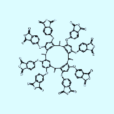 CC1c2cc(c(Oc3ccc4c(c3)C(=O)OC4=O)cc2Oc2ccc3c(c2)C(=O)OC3=O)C(C)c2cc(c(Oc3ccc4c(c3)C(=O)OC4=O)cc2Oc2ccc3c(c2)C(=O)OC3=O)C(C)c2cc(c(Oc3ccc4c(c3)C(=O)OC4=O)cc2Oc2ccc3c(c2)C(=O)OC3=O)C(C)c2cc1c(Oc1ccc3c(c1)C(=O)OC3=O)cc2Oc1ccc2c(c1)C(=O)OC2=O